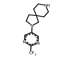 FC(F)(F)c1ncc(N2CCC3(CCNCC3)C2)cn1